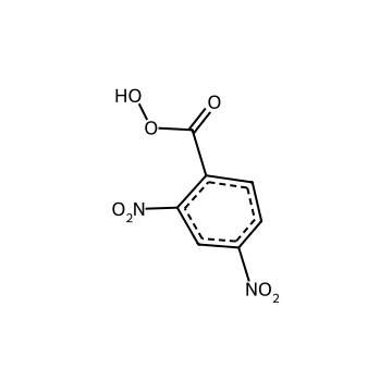 O=C(OO)c1ccc([N+](=O)[O-])cc1[N+](=O)[O-]